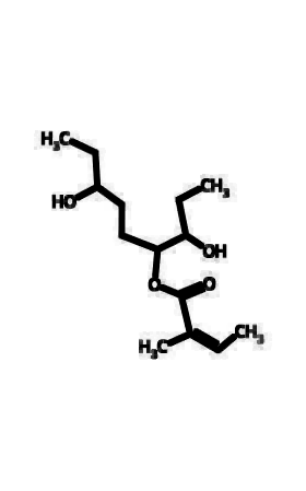 CC=C(C)C(=O)OC(CCC(O)CC)C(O)CC